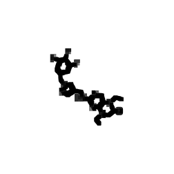 CCN1CC(=O)N(CC)c2cnc(NCc3cnn(Cc4cc(F)c(F)c(F)c4)c3)nc21